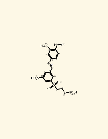 CCNc1ccc(/N=N/c2cc(S(=O)(=O)O)cc(S(=O)(=O)CCOS(=O)(=O)O)c2)cc1S(=O)(=O)O